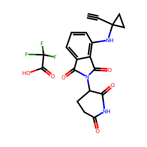 C#CC1(Nc2cccc3c2C(=O)N(C2CCC(=O)NC2=O)C3=O)CC1.O=C(O)C(F)(F)F